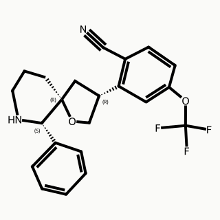 N#Cc1ccc(OC(F)(F)F)cc1[C@@H]1CO[C@]2(CCCN[C@H]2c2ccccc2)C1